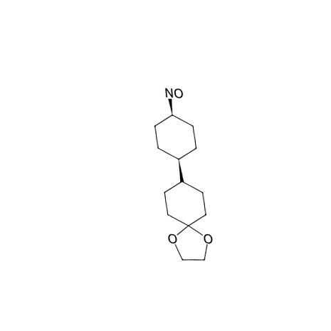 O=N[C@H]1CC[C@@H](C2CCC3(CC2)OCCO3)CC1